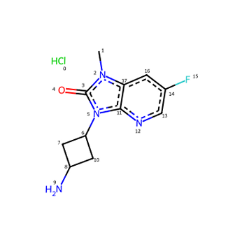 Cl.Cn1c(=O)n(C2CC(N)C2)c2ncc(F)cc21